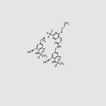 C#Cc1cc(CN)cc(F)c1NS(C)(=O)=O.C#Cc1cc(CNC(=O)/C=C\c2ccc(C(F)(F)F)nc2SCCC)cc(F)c1NS(C)(=O)=O